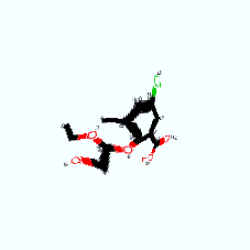 CCOC(C=O)Oc1c(C)cc(Cl)cc1C(=O)O